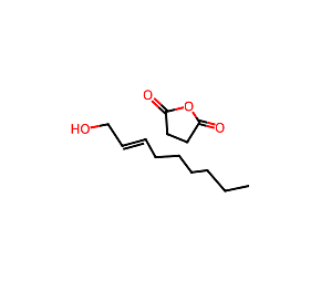 CCCCCCC=CCO.O=C1CCC(=O)O1